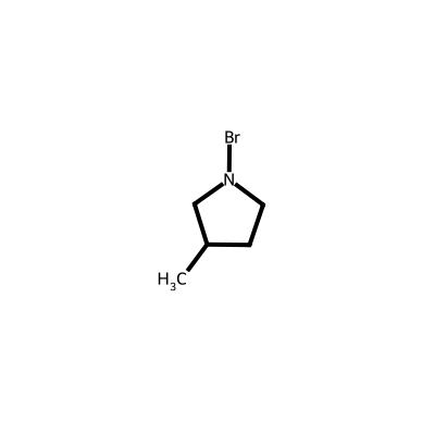 CC1CCN(Br)C1